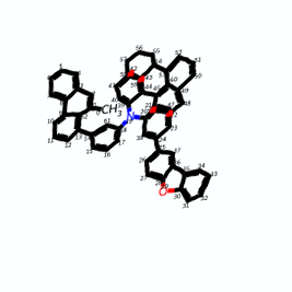 Cc1cc2ccccc2c2cccc(-c3cccc(N(c4cccc(-c5ccc6oc7ccccc7c6c5)c4)c4ccccc4-c4cccc5cccc(C6CCCCC6)c45)c3)c12